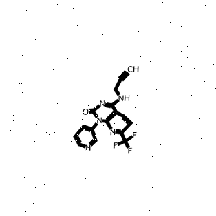 C#CCNc1nc(=O)n(-c2cccnc2)c2nc(C(F)(F)F)ccc12